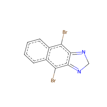 Brc1c2c(c(Br)c3ccccc13)=NCN=2